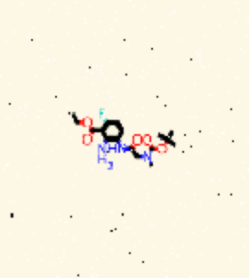 CCOC(=O)c1c(F)ccc(NC(=O)CN(C)C(=O)OC(C)(C)C)c1N